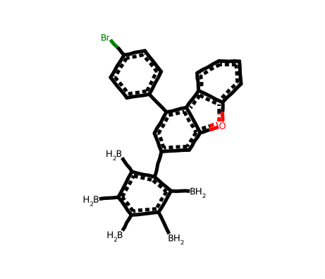 Bc1c(B)c(B)c(-c2cc(-c3ccc(Br)cc3)c3c(c2)oc2ccccc23)c(B)c1B